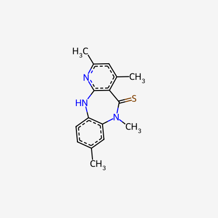 Cc1ccc2c(c1)N(C)C(=S)c1c(C)cc(C)nc1N2